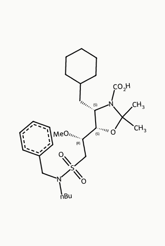 CCCCN(Cc1ccccc1)S(=O)(=O)C[C@H](OC)[C@H]1OC(C)(C)N(C(=O)O)[C@H]1CC1CCCCC1